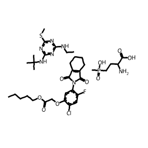 CCCCCOC(=O)COc1cc(N2C(=O)C3=C(CCCC3)C2=O)c(F)cc1Cl.CCNc1nc(NC(C)(C)C)nc(SC)n1.CP(=O)(O)CCC(N)C(=O)O